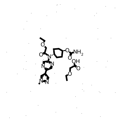 CCOCC(=O)N(c1cnc(-c2cnn(C)c2)cn1)[C@H]1CC[C@H](OC(N)=O)CC1.CCOCC(=O)O